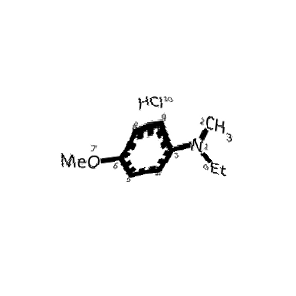 CCN(C)c1ccc(OC)cc1.Cl